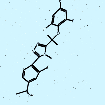 CC(O)c1ccc(-c2nnc(C(C)(C)Oc3c(F)cc(F)cc3F)n2C)c(F)c1